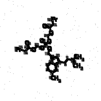 Cc1ccc2c(c1)c(CCN(C)C)cn2COP(=O)(OCOC(=O)CC(C)C)OCOC(=O)CC(C)C